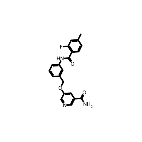 Cc1ccc(C(=O)Nc2cccc(COc3cncc(C(N)=O)c3)c2)c(F)c1